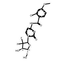 COc1ccc(C(=O)Nc2ccn(C3O[C@H](CO)[C@@H](O)C3(F)F)c(=O)n2)c(Cl)c1